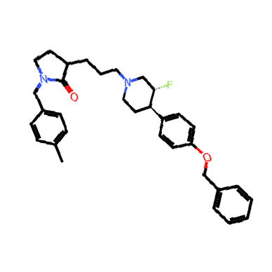 Cc1ccc(CN2CCC(CCCN3CC[C@H](c4ccc(OCc5ccccc5)cc4)[C@@H](F)C3)C2=O)cc1